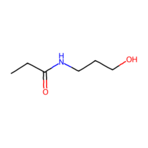 CCC(=O)NCCCO